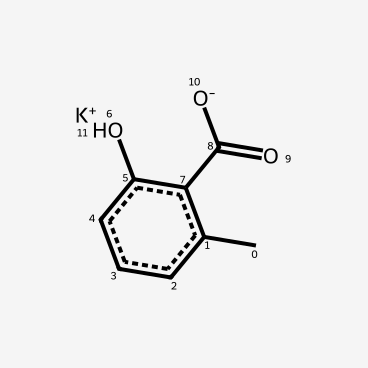 Cc1cccc(O)c1C(=O)[O-].[K+]